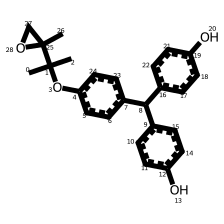 CC(C)(Oc1ccc(C(c2ccc(O)cc2)c2ccc(O)cc2)cc1)C1(C)CO1